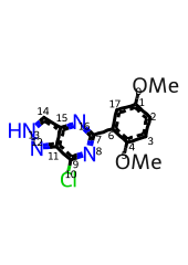 COc1ccc(OC)c(-c2nc(Cl)c3n[nH]cc3n2)c1